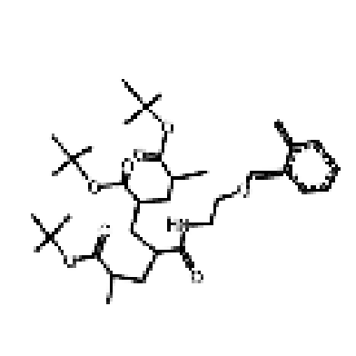 C=c1cccc/c1=C\OCCNC(=O)C(CC(C)C(=O)OC(C)(C)C)CC(CC(C)C(=O)OC(C)(C)C)C(=O)OC(C)(C)C